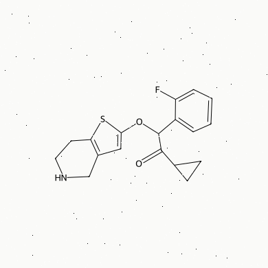 O=C(C1CC1)C(Oc1cc2c(s1)CCNC2)c1ccccc1F